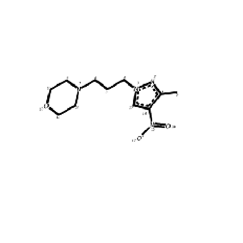 Cc1nn(CCCN2CCOCC2)cc1[N+](=O)[O-]